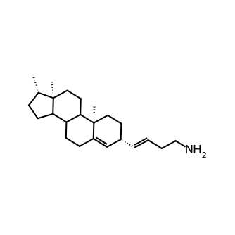 C[C@H]1CCC2C3CCC4=C[C@@H](/C=C/CCN)CC[C@]4(C)C3CC[C@@]21C